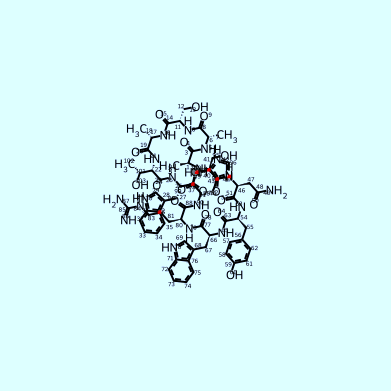 C[C@H](N)C(=O)N[C@@H](C)C(=O)N[C@@H](CO)C(=O)N[C@@H](C)C(=O)N[C@H](C(=O)N[C@@H](Cc1c[nH]c2ccccc12)C(=O)N[C@@H](CO)C(=O)N[C@@H](CC(N)=O)C(=O)N[C@@H](Cc1ccc(O)cc1)C(=O)N[C@@H](Cc1c[nH]c2ccccc12)C(=O)N[C@@H](CCCNC(=N)N)C(=O)N[C@@H](Cc1c[nH]cn1)C(=O)O)[C@@H](C)O